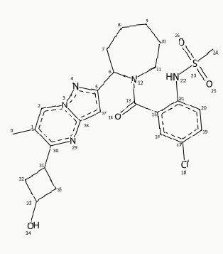 Cc1cn2nc(C3CCCCCN3C(=O)c3cc(Cl)ccc3NS(C)(=O)=O)cc2nc1C1CC(O)C1